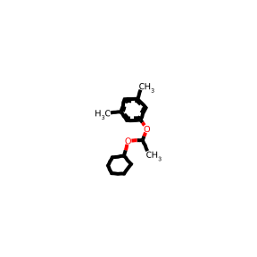 Cc1cc(C)cc(OC(C)OC2CCCCC2)c1